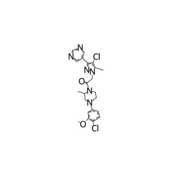 COc1cc(N2CCN(C(=O)Cn3nc(-c4cncnc4)c(Cl)c3C)C(C)C2)ccc1Cl